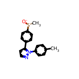 Cc1ccc(-n2nccc2-c2ccc([S+](C)[O-])cc2)cc1